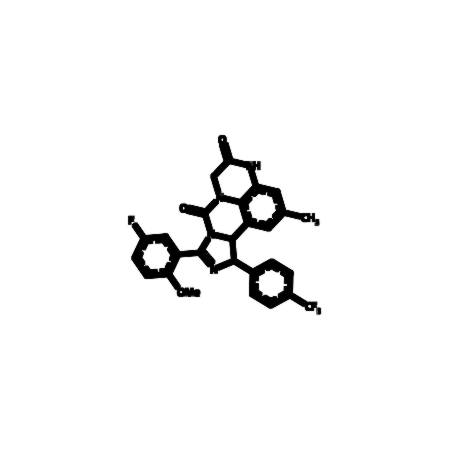 COc1ccc(F)cc1C1=NC(c2ccc(C(F)(F)F)cc2)C2c3cc(C)cc4c3N(CC(=O)N4)C(=O)N12